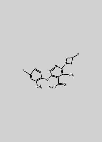 COC(=O)c1c(Oc2ccc(F)cc2C)nnc(N2CC(F)C2)c1C